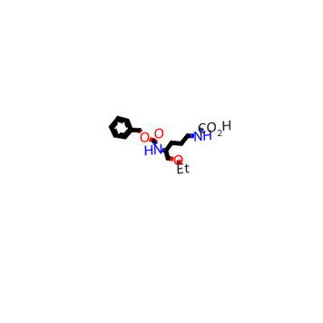 CCOCC(CCCNC(=O)O)NC(=O)OCc1ccccc1